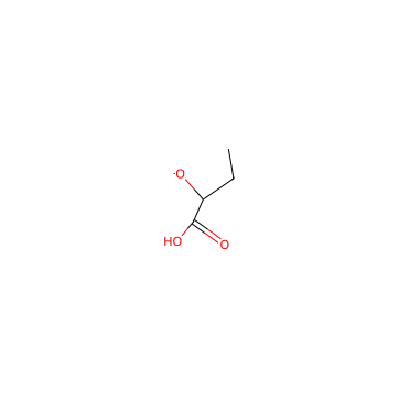 CCC([O])C(=O)O